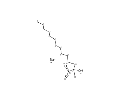 CCCCCCCCCCCCC(C)(O)C(=O)[O-].[Na+]